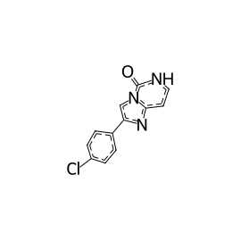 O=c1[nH]ccc2nc(-c3ccc(Cl)cc3)cn12